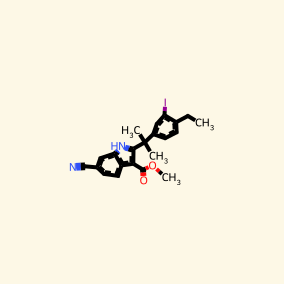 CCc1ccc(C(C)(C)c2[nH]c3cc(C#N)ccc3c2C(=O)OC)cc1I